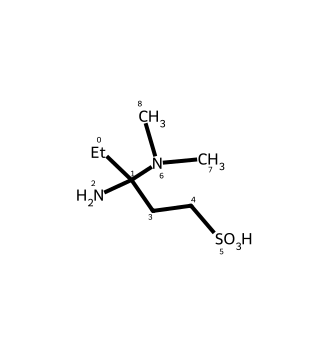 CCC(N)(CCS(=O)(=O)O)N(C)C